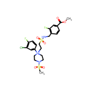 COC(=O)c1ccc(CNS(=O)(=O)CC[N+]2(c3ccc(F)c(Cl)c3)CCN(S(C)(=O)=O)CC2)c(F)c1